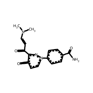 CN(C)/C=C/C(=O)c1nn(-c2ccc(C(N)=O)cc2)ccc1=O